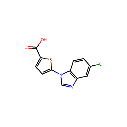 O=C(O)c1ccc(-n2cnc3cc(Cl)ccc32)s1